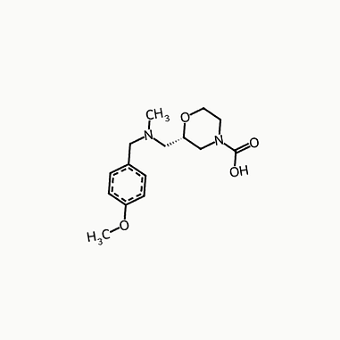 COc1ccc(CN(C)C[C@H]2CN(C(=O)O)CCO2)cc1